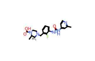 Cc1cc(NC(=O)Nc2cccc(CN3CCN(C(=O)O)C(C)[C@H]3C)c2F)ccn1